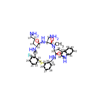 CN1C(=O)[C@H](CN)NC(=O)[C@H](CCCN)NCc2c(F)cccc2Sc2ccccc2CNC(=O)[C@@H]1Cc1c[nH]c2ccccc12